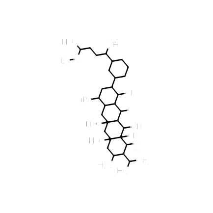 CCOC(C)CCC(C)C1CCCC(C2CC(C(C)C)C3CC4(C)CC5(C)CC(C)C(C(C)O)C(O)C5(C)C(C)C4C(O)C3C2C)C1